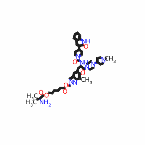 Cc1cc(CC(NC(=O)N2CCC(c3cc4ccccc4[nH]c3=O)CC2)C(=O)N2CCN(C3CCN(C)CC3)CC2)cc2cn(COC(=O)CCCCCOC(=O)C(N)C(C)C)nc12